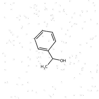 CC(O)c1c[c][c]cc1